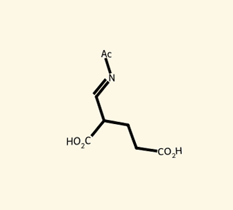 CC(=O)/N=C/C(CCC(=O)O)C(=O)O